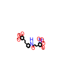 COc1cc(C=Cc2cccc(NC(=O)/C=C/c3cc(OC)c(OC)c([N+](=O)[O-])c3)c2)cc(OC)c1OC